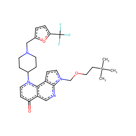 C[Si](C)(C)CCOCn1ccc2c1ncc1c(=O)ccn(C3CCN(Cc4ccc(C(F)(F)F)o4)CC3)c12